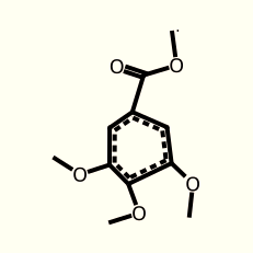 [CH2]OC(=O)c1cc(OC)c(OC)c(OC)c1